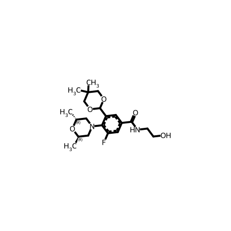 C[C@@H]1CN(c2c(F)cc(C(=O)NCCO)cc2C2OCC(C)(C)CO2)C[C@@H](C)O1